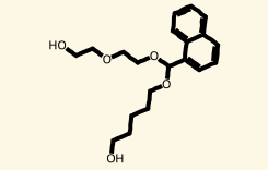 OCCCCCOC(OCCOCCO)c1cccc2ccccc12